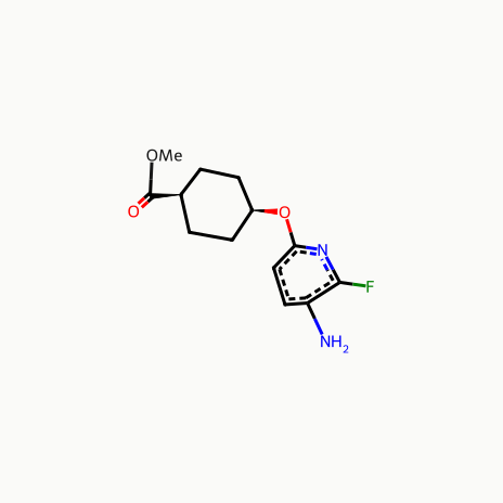 COC(=O)[C@H]1CC[C@@H](Oc2ccc(N)c(F)n2)CC1